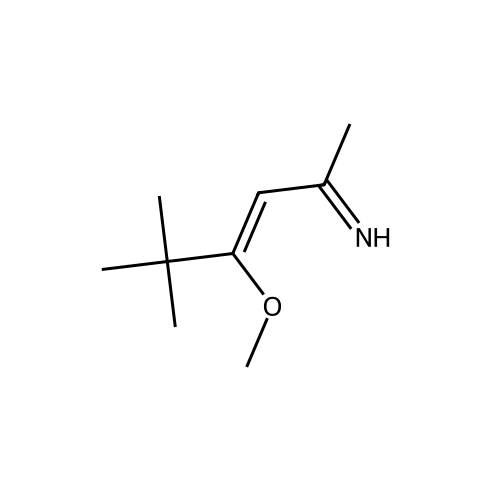 CO/C(=C\C(C)=N)C(C)(C)C